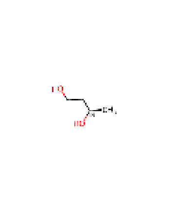 C[C@@H](O)CCO